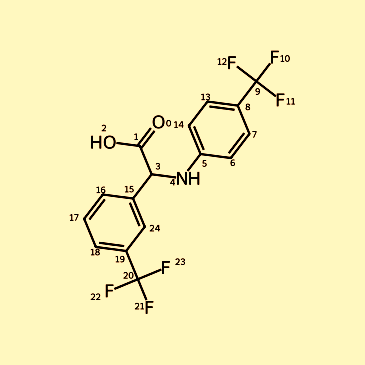 O=C(O)C(Nc1ccc(C(F)(F)F)cc1)c1cccc(C(F)(F)F)c1